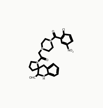 O=CC1Nc2ccccc2CC12CCCN2C(=O)CN1CCN(C(=O)c2cc([N+](=O)[O-])ccc2Cl)CC1